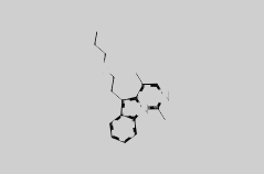 CCCOCCc1c2ccccc2n2c(C)ncc(C)c12